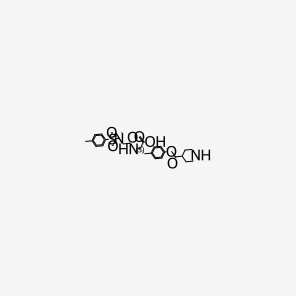 Cc1ccc(S(=O)(=O)N(C)CC(=O)N[C@@H](Cc2ccc(OC(=O)C3CCNCC3)cc2)C(=O)O)cc1